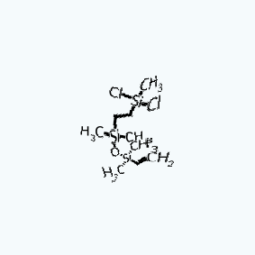 C=C[Si](C)(C)O[Si](C)(C)CC[Si](C)(Cl)Cl